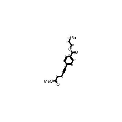 COC(=O)CCC#Cc1ccc(C(=O)OCCC(C)(C)C)cc1